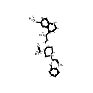 C=C[C@H](Cc1ccccc1)N1CC[C@@H](CC[C@@H](O)c2ccnc3ccc(OC)cc23)[C@@H](C(=O)O)C1